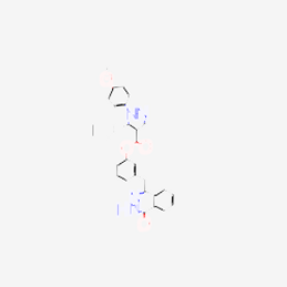 COc1ccc(-n2ncc(C(=O)Oc3cccc(Cc4n[nH]c(=O)c5ccccc45)c3)c2C)cc1